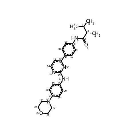 CC(C)[C@H](C)C(=O)Nc1ccc(-c2ccnc(Nc3ccc(N4CCOCC4)cc3)n2)cc1